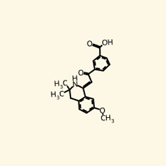 COc1ccc2c(c1)C(=CC(=O)c1cccc(C(=O)O)c1)NC(C)(C)C2